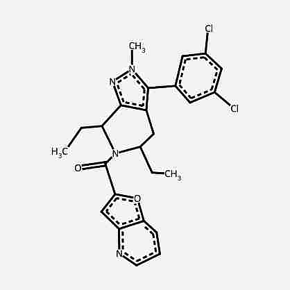 CCC1Cc2c(nn(C)c2-c2cc(Cl)cc(Cl)c2)C(CC)N1C(=O)c1cc2ncccc2o1